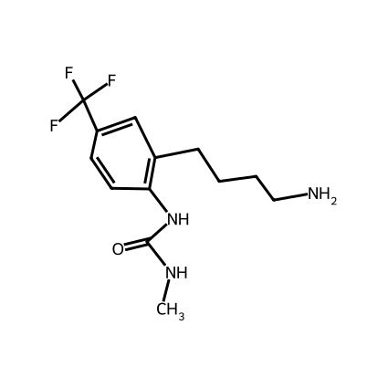 CNC(=O)Nc1ccc(C(F)(F)F)cc1CCCCN